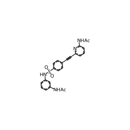 CC(=O)Nc1cccc(NS(=O)(=O)c2ccc(C#Cc3cccc(NC(C)=O)n3)cc2)c1